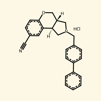 Cl.N#Cc1ccc2c(c1)[C@@H]1CN(Cc3ccc(-c4ccccc4)cc3)C[C@H]1CO2